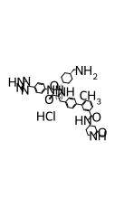 Cc1ccc(C(=O)NC2CCNC(=O)C2)cc1-c1ccc(C[C@H](NC(=O)[C@H]2CC[C@H](CN)CC2)C(=O)Nc2ccc(-c3nn[nH]n3)cc2)cc1.Cl